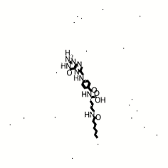 CCCCCCC(=O)NCCCC[C@H](NC(=O)c1ccc(NCc2cnc3nc(N)[nH]c(=O)c3n2)cc1)C(=O)O